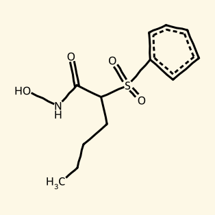 CCCCC(C(=O)NO)S(=O)(=O)c1ccccc1